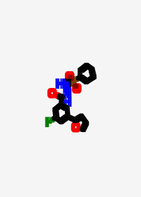 O=C(NNS(=O)(=O)c1ccccc1)c1cc(F)cc(-c2ccco2)c1